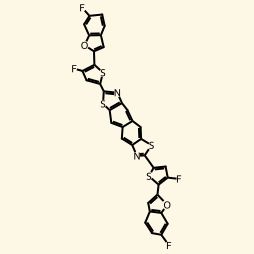 Fc1ccc2cc(-c3sc(-c4nc5cc6cc7sc(-c8cc(F)c(-c9cc%10ccc(F)cc%10o9)s8)nc7cc6cc5s4)cc3F)oc2c1